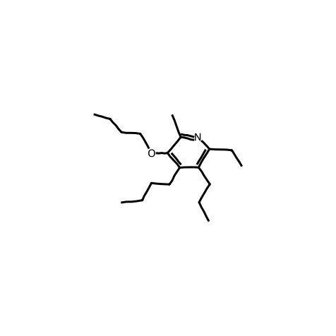 CCCCOc1c(C)nc(CC)c(CCC)c1CCCC